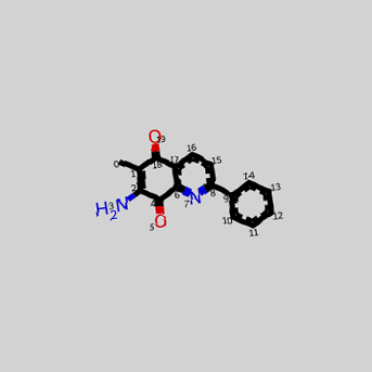 CC1=C(N)C(=O)c2nc(-c3ccccc3)ccc2C1=O